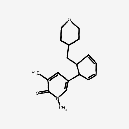 Cc1cc(C2C=CC=CC2CC2CCOCC2)cn(C)c1=O